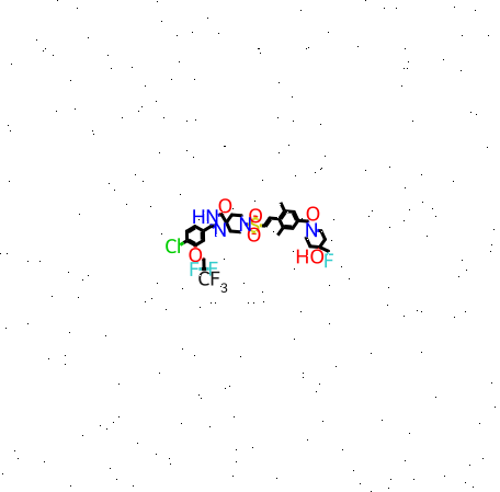 Cc1cc(C(=O)N2CCC(O)(CF)CC2)cc(C)c1C=CS(=O)(=O)N1CCC2(CC1)N=C(c1ccc(Cl)c(OCC(F)(F)C(F)(F)F)c1)NC2=O